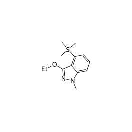 CCOc1nn(C)c2cccc([Si](C)(C)C)c12